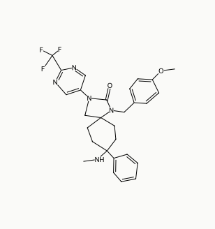 CNC1(c2ccccc2)CCC2(CC1)CN(c1cnc(C(F)(F)F)nc1)C(=O)N2Cc1ccc(OC)cc1